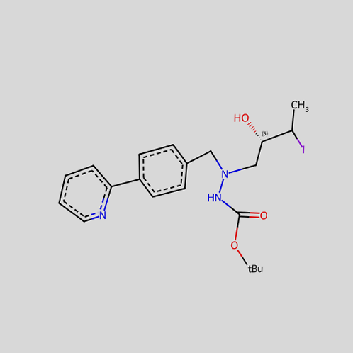 CC(I)[C@@H](O)CN(Cc1ccc(-c2ccccn2)cc1)NC(=O)OC(C)(C)C